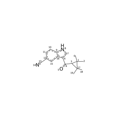 CC1(C)C(C(=O)c2c[nH]c3ccc(C#N)cc23)C1(C)C